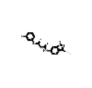 Cc1n[nH]c2cc(NC(=O)CC(=O)Nc3cccc(F)c3)ccc12